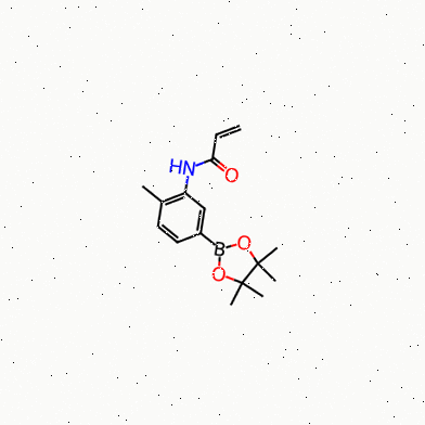 C=CC(=O)Nc1cc(B2OC(C)(C)C(C)(C)O2)ccc1C